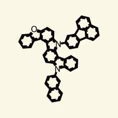 c1ccc2cc(-n3c4ccccc4c4c3ccc3c5c6c(ccc5n(-c5ccc7c(c5)-c5cccc8cccc-7c58)c34)oc3ccccc36)ccc2c1